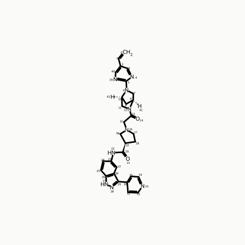 C=Cc1cnc(N2C[C@@H]3C[C@H]2CN3C(=O)CN2CC[C@@H](C(=O)Nc3ccc4[nH]nc(-c5ccncc5)c4c3)C2)nc1